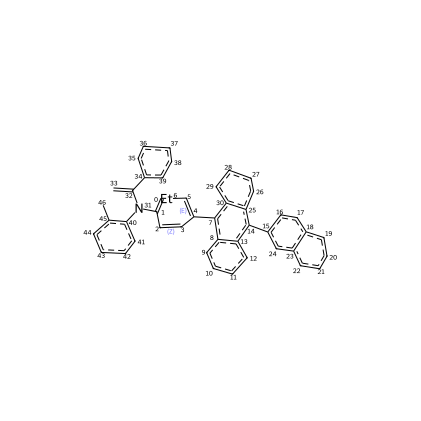 C=C(/C=C\C(=C/CC)c1c2ccccc2c(-c2ccc3ccccc3c2)c2ccccc12)N(C(=C)c1ccccc1)c1ccccc1C